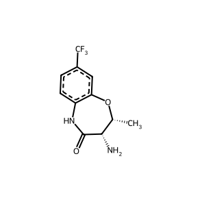 C[C@H]1Oc2cc(C(F)(F)F)ccc2NC(=O)[C@H]1N